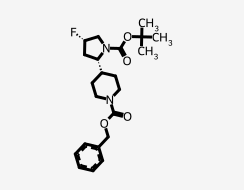 CC(C)(C)OC(=O)N1C[C@@H](F)C[C@H]1C1CCN(C(=O)OCc2ccccc2)CC1